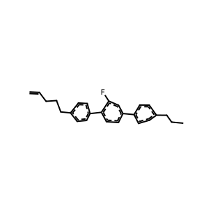 C=CCCCc1ccc(-c2ccc(-c3ccc(CCC)cc3)cc2F)cc1